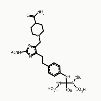 CC(=O)Nc1nc(CCc2ccc(NC(NC(=O)O)(N(C(=O)O)C(C)(C)C)C(C)(C)C)cc2)c(CN2CCC(C(N)=O)CC2)s1